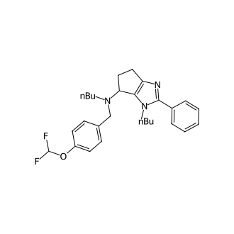 CCCCN(Cc1ccc(OC(F)F)cc1)C1CCc2nc(-c3ccccc3)n(CCCC)c21